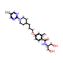 CCc1cnc(N2CCC(CCCOc3ccc(C(=O)NC(CO)CO)c(C)c3)CC2)nc1